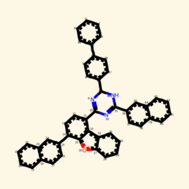 c1ccc(-c2ccc(C3N=C(c4ccc(-c5ccc6ccccc6c5)c5oc6ccccc6c45)N=C(c4ccc5ccccc5c4)N3)cc2)cc1